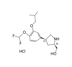 CC(C)COc1cc([C@H]2CN[C@@H](CO)C2)ccc1OC(F)F.Cl